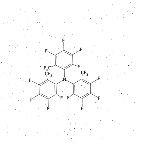 Fc1c(F)c(F)c(C(F)(F)F)c(N(c2c(F)c(F)c(F)c(F)c2C(F)(F)F)c2c(F)c(F)c(F)c(F)c2C(F)(F)F)c1F